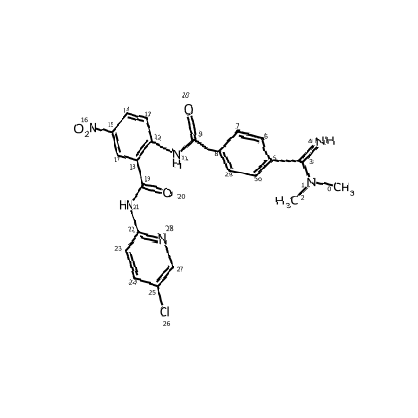 CN(C)C(=N)c1ccc(C(=O)Nc2ccc([N+](=O)[O-])cc2C(=O)Nc2ccc(Cl)cn2)cc1